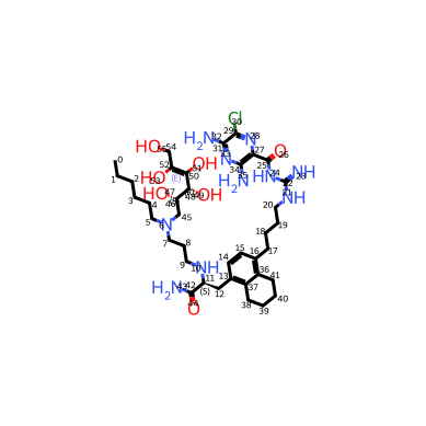 CCCCCCN(CCCN[C@@H](Cc1ccc(CCCCNC(=N)NC(=O)c2nc(Cl)c(N)nc2N)c2c1CCCC2)C(N)=O)C[C@H](O)[C@@H](O)/C(O)=C(\O)CO